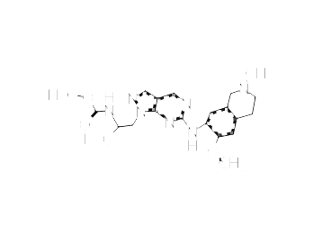 COC(=O)NC(C)Cn1ncc2cnc(Nc3cc4c(cc3OC)CCN(C)C4)nc21